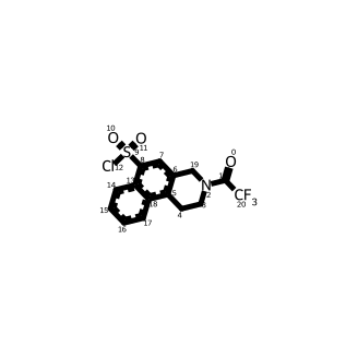 O=C(N1CCc2c(cc(S(=O)(=O)Cl)c3ccccc23)C1)C(F)(F)F